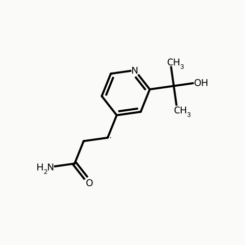 CC(C)(O)c1cc([CH]CC(N)=O)ccn1